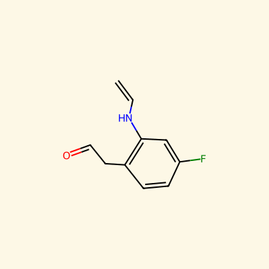 C=CNc1cc(F)ccc1CC=O